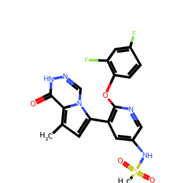 Cc1cc(-c2cc(NS(C)(=O)=O)cnc2Oc2ccc(F)cc2F)n2cn[nH]c(=O)c12